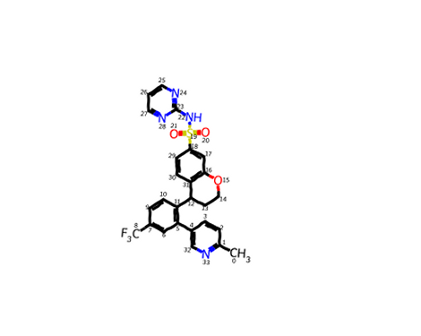 Cc1ccc(-c2cc(C(F)(F)F)ccc2C2CCOc3cc(S(=O)(=O)Nc4ncccn4)ccc32)cn1